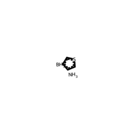 B.N.c1ccsc1